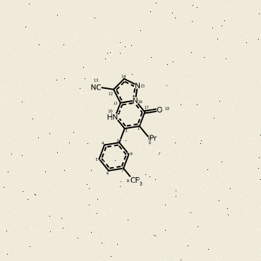 CC(C)c1c(-c2cccc(C(F)(F)F)c2)[nH]c2c(C#N)cnn2c1=O